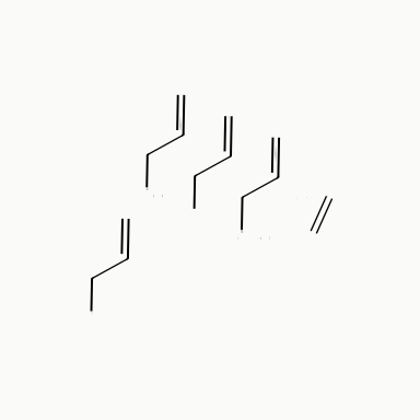 C=C.C=CCC(=O)[O-].C=CCC(=O)[O-].C=CCC(=O)[O-].C=CCC(=O)[O-].[C+4]